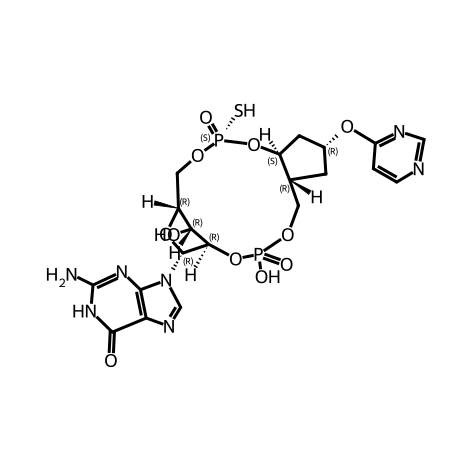 Nc1nc2c(ncn2[C@@H]2O[C@@H]3CO[P@](=O)(S)O[C@H]4C[C@H](Oc5ccncn5)C[C@@H]4COP(=O)(O)O[C@@H]2[C@@H]3O)c(=O)[nH]1